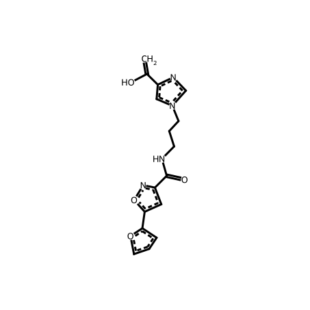 C=C(O)c1cn(CCCNC(=O)c2cc(-c3ccco3)on2)cn1